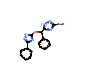 COc1n[nH]c(C(Oc2nc(-c3ccccc3)n[nH]2)c2ccccc2)n1